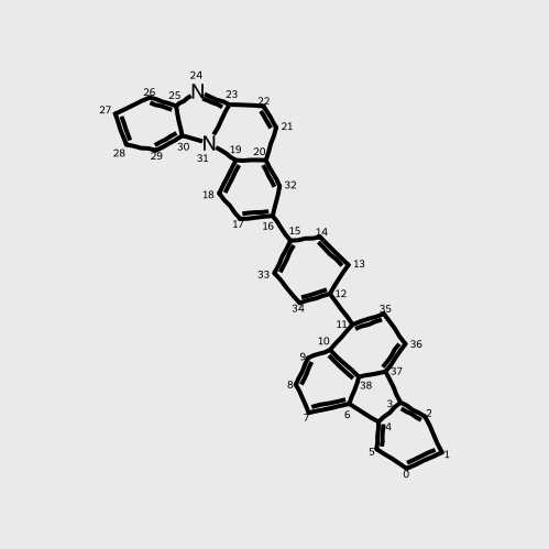 c1ccc2c(c1)-c1cccc3c(-c4ccc(-c5ccc6c(ccc7nc8ccccc8n76)c5)cc4)ccc-2c13